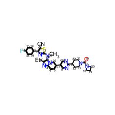 CCc1nc2ccc(-c3cnc(C4CCN(C(=O)N5CCC5)CC4)nc3)cn2c1N(C)c1nc(-c2ccc(F)cc2)c(C#N)s1